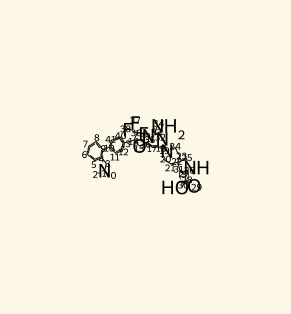 CN(C)Cc1ccccc1-c1ccc(C(Oc2cc(N3CCC4(CC3)CN[C@H](C(=O)O)C4)nc(N)n2)C(F)(F)F)cc1